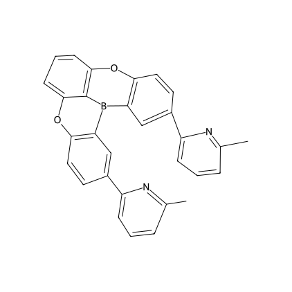 Cc1cccc(-c2ccc3c(c2)B2c4cc(-c5cccc(C)n5)ccc4Oc4cccc(c42)O3)n1